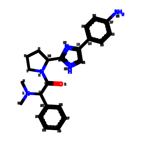 CN(C)C(C(=O)N1CCCC1c1nc(-c2ccc(N)cc2)c[nH]1)c1ccccc1